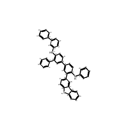 c1ccc(Nc2ccc(-c3ccc(Nc4cccc(-c5ccccc5)c4)c(-c4ccccc4)c3)cc2-c2ccc3sc4ccccc4c3c2)cc1